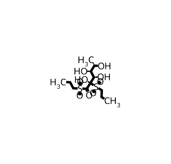 CCCS(=O)(=O)C(=O)[C@](O)([C@H](O)[C@@H](O)[C@H](C)O)S(=O)(=O)CCC